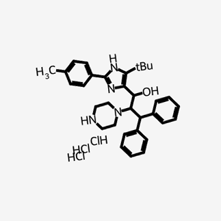 Cc1ccc(-c2nc(C(O)C(C(c3ccccc3)c3ccccc3)N3CCNCC3)c(C(C)(C)C)[nH]2)cc1.Cl.Cl.Cl